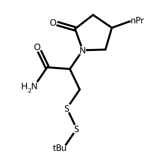 CCCC1CC(=O)N(C(CSSC(C)(C)C)C(N)=O)C1